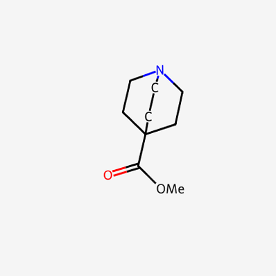 COC(=O)C12CCN(CC1)CC2